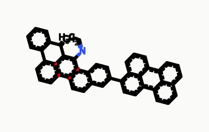 C=C(c1ccccc1/N=C\C)c1ccccc1-c1cccc(-c2ccc3cc(-c4ccc5c6cccc7cccc(c8cccc4c85)c76)ccc3c2)c1